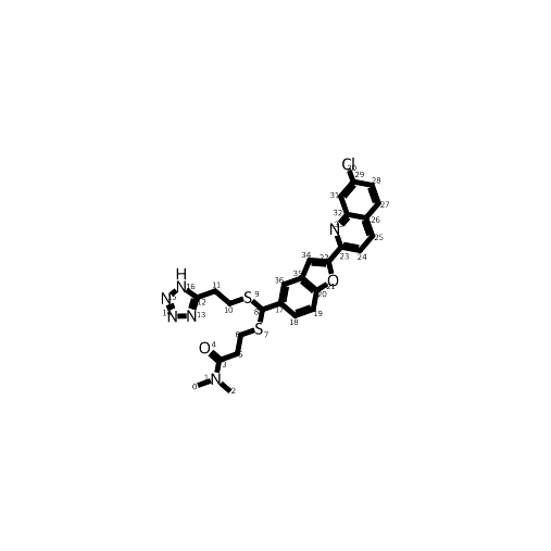 CN(C)C(=O)CCSC(SCCc1nnn[nH]1)c1ccc2oc(-c3ccc4ccc(Cl)cc4n3)cc2c1